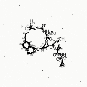 C=C[C@@H]1C[C@]1(NC(=O)[C@@H]1C[C@@H]2CN1C(=O)[C@H](C(C)(C)C)NC(=O)OCC(C)(C)CCCc1ccc3ccnc(c3c1)O2)C(=O)NS(=O)(=O)C1CC1